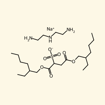 CCCCC(CC)COC(=O)CC(C(=O)OCC(CC)CCCC)S(=O)(=O)[O-].NCCNCCN.[Na+]